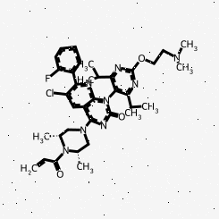 C=CC(=O)N1[C@H](C)CN(c2nc(=O)n(-c3c(C(C)C)nc(OCCN(C)C)nc3C(C)C)c3nc(-c4ccccc4F)c(Cl)cc23)C[C@@H]1C